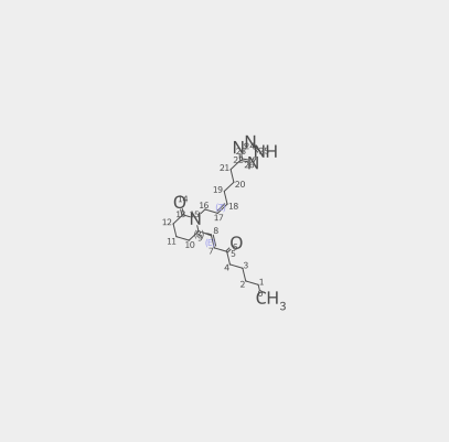 CCCCCC(=O)/C=C/[C@H]1CCCC(=O)N1C/C=C\CCCc1nn[nH]n1